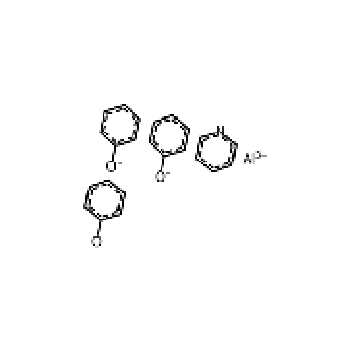 [Al+3].[O-]c1ccccc1.[O-]c1ccccc1.[O-]c1ccccc1.c1ccncc1